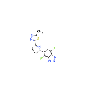 Cc1nnc(-c2cccc(-c3cc(F)c4nn[nH]c4c3F)n2)s1